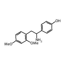 COc1ccc(CC(N)c2ccc(O)cc2)c(OC)c1